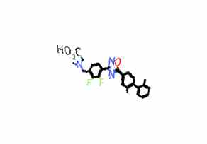 Cc1ccccc1-c1ccc(-c2nc(-c3ccc(CN(C)CC(=O)O)c(F)c3F)no2)cc1C